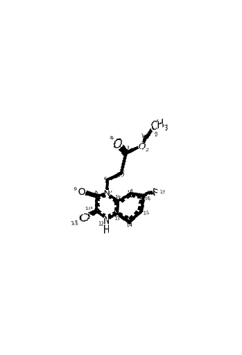 CCOC(=O)CCn1c(=O)c(=O)[nH]c2ccc(F)cc21